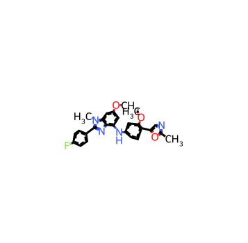 COc1cc(Nc2ccc(-c3cnc(C)o3)c(OC)c2)c2nc(-c3ccc(F)cc3)n(C)c2c1